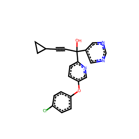 OC(C#CC1CC1)(c1cncnc1)c1ccc(Oc2ccc(Cl)cc2)cn1